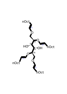 CCCCCCCC/C=C/OC[C@@H](O/C=C/CCCCCCCC)[C@@H](O)[C@H](O)[C@@H](CO/C=C/CCCCCCCC)O/C=C/CCCCCCCC